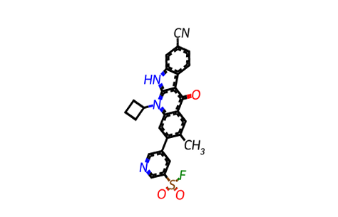 Cc1cc2c(=O)c3c4ccc(C#N)cc4[nH]c3n(C3CCC3)c2cc1-c1cncc(S(=O)(=O)F)c1